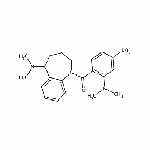 CN(C)c1cc([N+](=O)[O-])ccc1C(=O)N1CCCC(N(C)C)c2ccccc21